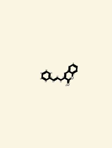 O=c1oc2ccccc2cc1C/C=C/c1ccccc1